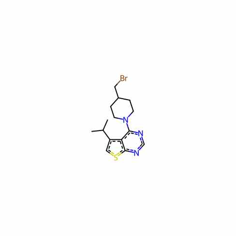 CC(C)c1csc2ncnc(N3CCC(CBr)CC3)c12